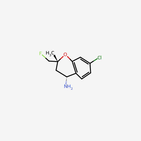 C[C@]1(CF)C[C@@H](N)c2ccc(Cl)cc2O1